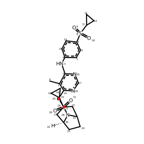 Cc1c(Nc2ccc(S(=O)(=O)C3CC3)cc2)ncnc1OC1CC2CC[C@@H](C1)N2S(=O)(=O)C1CC1